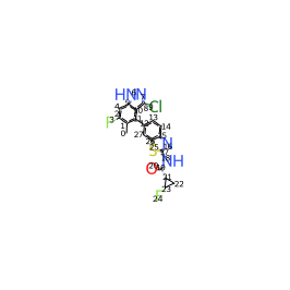 Cc1c(F)cc2[nH]nc(Cl)c2c1-c1ccc2nc(NC(=O)[C@@H]3C[C@@H]3F)sc2c1